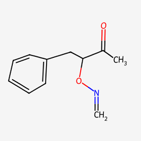 C=NOC(Cc1ccccc1)C(C)=O